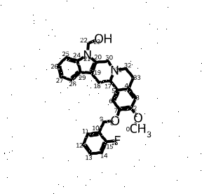 COc1cc2c(cc1OCc1ccccc1F)C1Cc3c(n(CO)c4ccccc34)CN1CC2